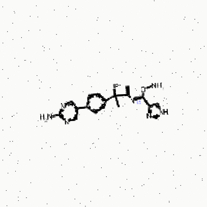 C=C(/N=C(\ON)c1c[nH]cn1)C(C)(c1ccc(-c2cnc(N)nc2)cc1)C(C)C